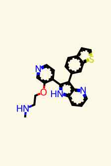 CNCCOc1cnccc1-c1[nH]c2cccnc2c1-c1ccc2ccsc2c1